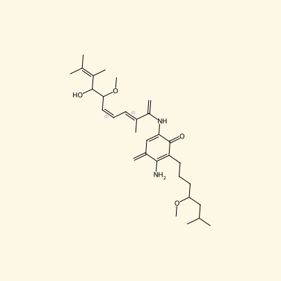 C=C1C=C(NC(=C)/C(C)=C/C=C\C(OC)C(O)C(C)=C(C)C)C(=O)C(CCCC(CC(C)C)OC)=C1N